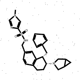 Cn1cnc(S(=O)(=O)NCc2ccc3c(c2)[C@H](Cc2ccccc2)[C@H](N2CC4CC4C2)CC3)c1